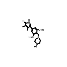 COc1cc(-c2cn(C)c(=O)c(C)c2C)cc(OC)c1CN1CCN(SI)CC1